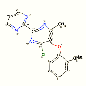 COc1ccccc1Oc1c(C)nc(-c2ncccn2)nc1Cl